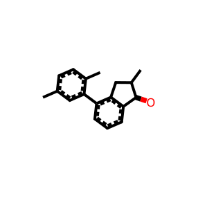 Cc1ccc(C)c(-c2cccc3c2CC(C)C3=O)c1